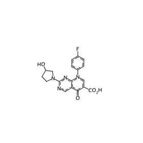 O=C(O)c1cn(-c2ccc(F)cc2)c2nc(N3CCC(O)C3)ncc2c1=O